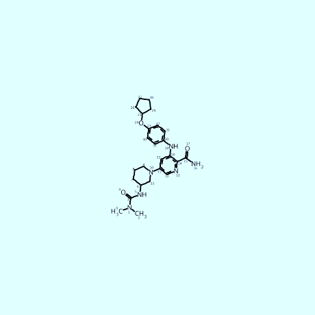 CN(C)C(=O)NC1CCCN(c2cnc(C(N)=O)c(Nc3ccc(OC4CCCC4)cc3)c2)C1